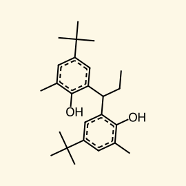 CCC(c1cc(C(C)(C)C)cc(C)c1O)c1cc(C(C)(C)C)cc(C)c1O